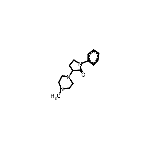 CN1CCN(C2CCN(c3ccccc3)C2=O)CC1